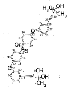 CC(C)(O)C#Cc1cccc(Oc2ccc(S(=O)(=O)c3ccc(Oc4cccc(C#CC(C)(C)O)c4)cc3)cc2)c1